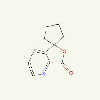 O=C1OC2(CCCC2)c2cccnc21